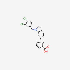 O=C(O)c1cccc(-c2ccc3c(c2)N(Cc2ccc(Cl)c(Cl)c2)CC3)c1